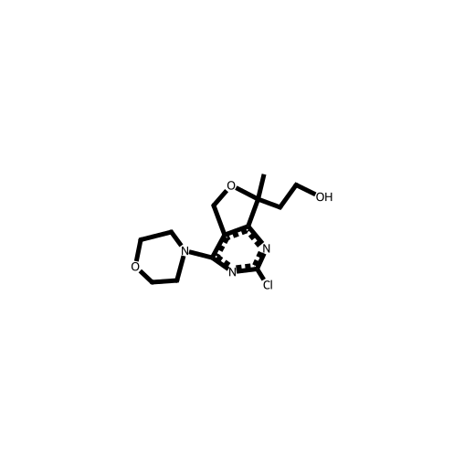 CC1(CCO)OCc2c(N3CCOCC3)nc(Cl)nc21